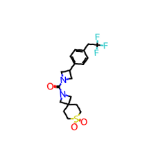 O=C(N1CC(c2ccc(CC(F)(F)F)cc2)C1)N1CC2(CCS(=O)(=O)CC2)C1